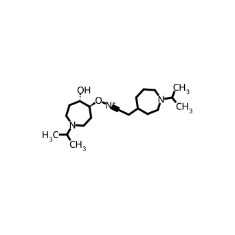 CC(C)N1CCCC(CC#[N+]O[C@H]2CCN(C(C)C)CC[C@@H]2O)CC1